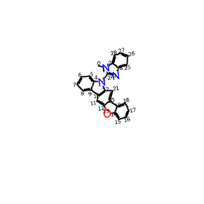 Cn1c(-n2c3ccccc3c3cc4oc5ccccc5c4cc32)nc2ccccc21